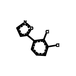 Clc1cccc(-c2ccno2)c1Cl